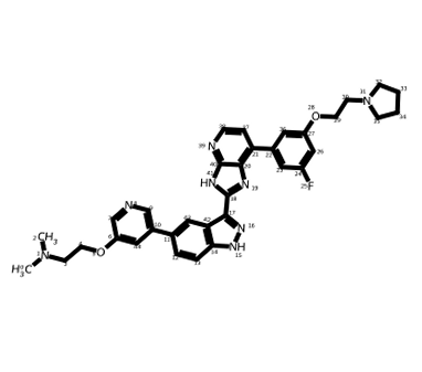 CN(C)CCOc1cncc(-c2ccc3[nH]nc(-c4nc5c(-c6cc(F)cc(OCCN7CCCC7)c6)ccnc5[nH]4)c3c2)c1